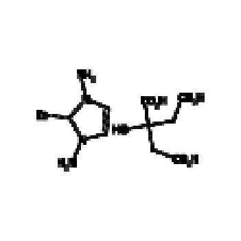 CCC1N(N)C=CN1N.O=C(O)CC(O)(CC(=O)O)C(=O)O